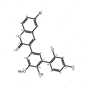 COc1nc(-c2cc3cc(Br)ccc3oc2=O)cc(-c2ccc(Cl)cc2Cl)c1C#N